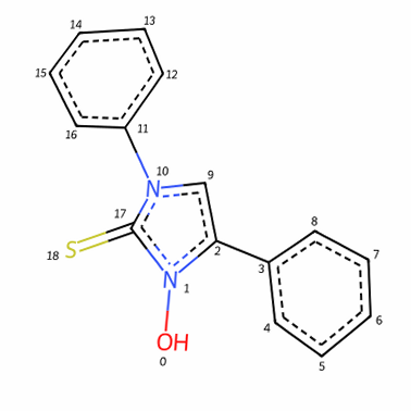 On1c(-c2ccccc2)cn(-c2ccccc2)c1=S